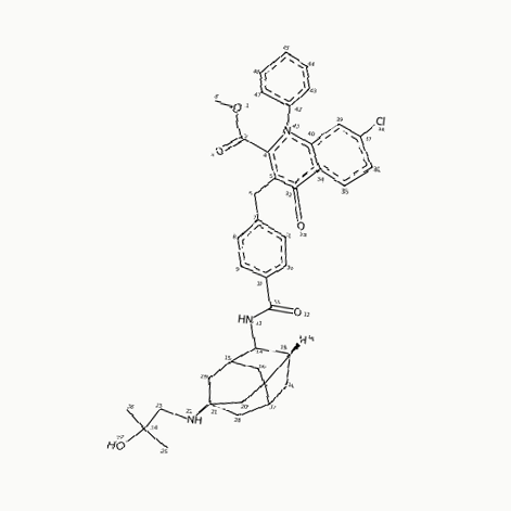 COC(=O)c1c(Cc2ccc(C(=O)NC3C4CC5C[C@@H]3CC(NCC(C)(C)O)(C5)C4)cc2)c(=O)c2ccc(Cl)cc2n1-c1ccccc1